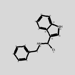 CC[C@@H](NCc1ccccc1)c1c[nH]c2ccccc12